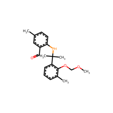 COCOc1c(C)cccc1C(C)(C)Pc1ccc(C)cc1C=O